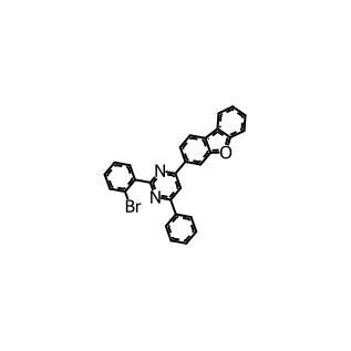 Brc1ccccc1-c1nc(-c2ccccc2)cc(-c2ccc3c(c2)oc2ccccc23)n1